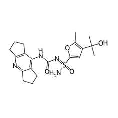 Cc1oc([S@@](N)(=O)=NC(=O)Nc2c3c(nc4c2CCC4)CCC3)cc1C(C)(C)O